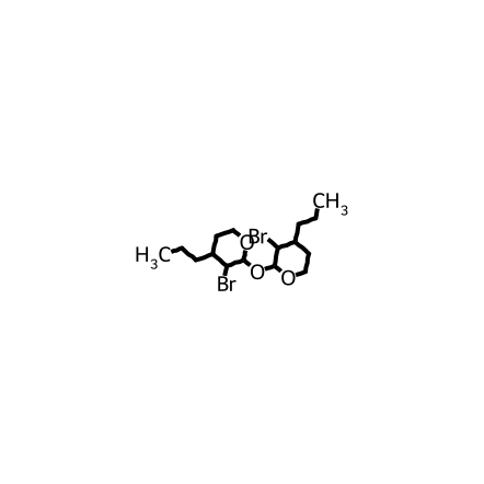 CCCC1CCOC(OC2OCCC(CCC)C2Br)C1Br